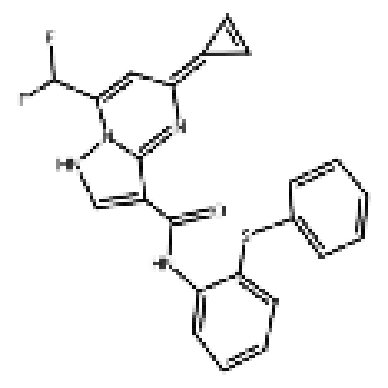 O=C(Nc1ccccc1Sc1ccccc1)C1=CNN2C(C(F)F)=CC(=C3C=C3)N=C12